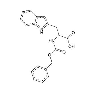 O=C(NC(Cc1cc2ccccc2[nH]1)C(=O)O)OCc1ccccc1